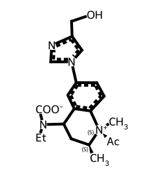 CCN(C(=O)[O-])C1C[C@H](C)[N@+](C)(C(C)=O)c2ccc(-n3cnc(CO)c3)cc21